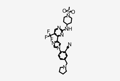 CS(=O)(=O)N1CCC(Nc2ncc(C(F)(F)F)c(-c3cn(-c4ccc(CN5CCCC5)cc4C#N)cn3)n2)CC1